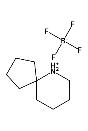 C1CCC2(CCCC2)[NH2+]C1.F[B-](F)(F)F